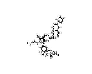 C=CCn1c(=O)c2cnc(Nc3ccc4c(c3)CCC(N3CCCC3)C4)nc2n1-c1cccc(N=S(C)(C)=O)n1